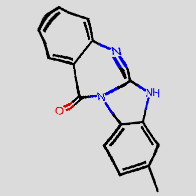 Cc1ccc2c(c1)[nH]c1nc3ccccc3c(=O)n12